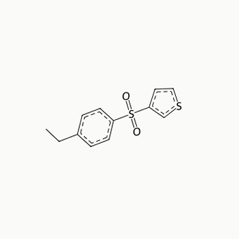 CCc1ccc(S(=O)(=O)c2ccsc2)cc1